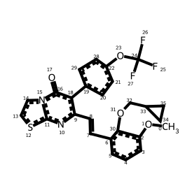 COc1cccc(/C=C/c2nc3sccn3c(=O)c2-c2ccc(OC(F)(F)F)cc2)c1OCC1CC1